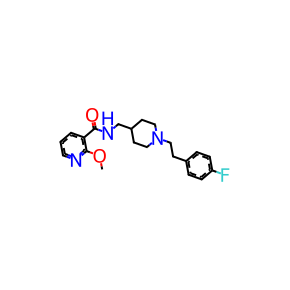 COc1ncccc1C(=O)NCC1CCN(CCc2ccc(F)cc2)CC1